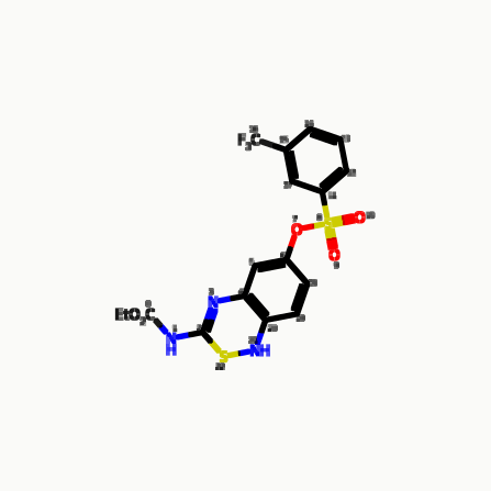 CCOC(=O)NC1=Nc2cc(OS(=O)(=O)c3cccc(C(F)(F)F)c3)ccc2NS1